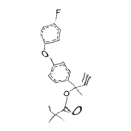 C#CC(C)(OC(=O)C(C)(C)C)c1ccc(Oc2ccc(F)cc2)cc1